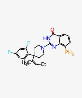 CC/C=C(/C)C1(c2c(F)cc(F)cc2CC)CCN(c2nc3c(P)cccc3c(=O)[nH]2)CC1